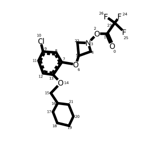 O=C(ON1CC(Oc2cc(Cl)ccc2OCC2CCCCC2)C1)C(F)(F)F